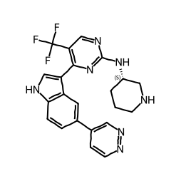 FC(F)(F)c1cnc(N[C@H]2CCCNC2)nc1-c1c[nH]c2ccc(-c3ccnnc3)cc12